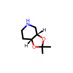 CC1(C)O[C@H]2CNCC[C@H]2O1